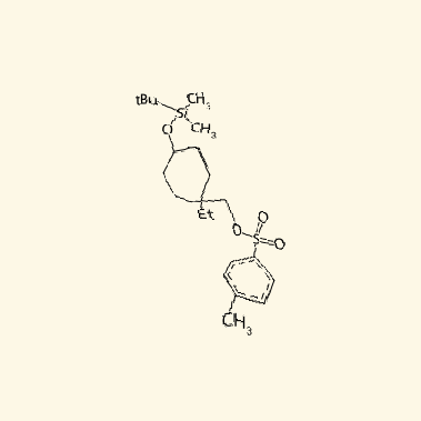 CCC1(COS(=O)(=O)c2ccc(C)cc2)CCC(O[Si](C)(C)C(C)(C)C)CC1